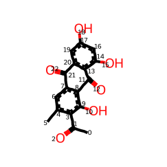 CC(=O)c1c(C)cc2c(c1O)C(=O)c1c(O)cc(O)cc1C2=O